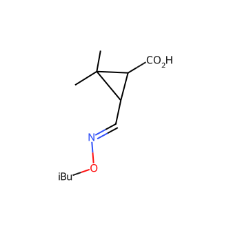 CCC(C)O/N=C/C1C(C(=O)O)C1(C)C